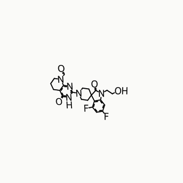 O=CN1CCCc2c1nc(N1CCC3(CC1)C(=O)N(CCO)c1cc(F)cc(F)c13)[nH]c2=O